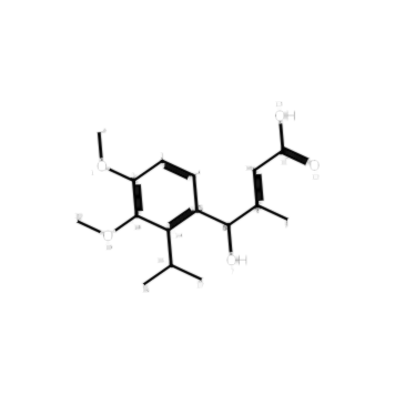 COc1ccc(C(O)C(C)=CC(=O)O)c(C(C)C)c1OC